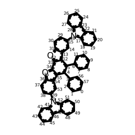 c1ccc(-c2c(-c3ccccc3)c3c4cc(-n5c6ccccc6c6ccccc65)ccc4oc3c3oc4ccc(-n5c6ccccc6c6ccccc65)cc4c23)cc1